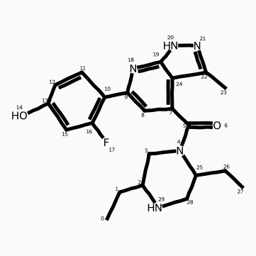 CCC1CN(C(=O)c2cc(-c3ccc(O)cc3F)nc3[nH]nc(C)c23)C(CC)CN1